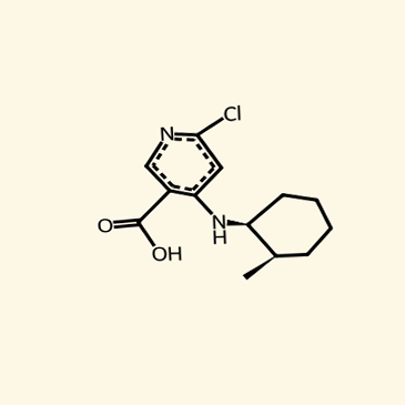 C[C@@H]1CCCC[C@@H]1Nc1cc(Cl)ncc1C(=O)O